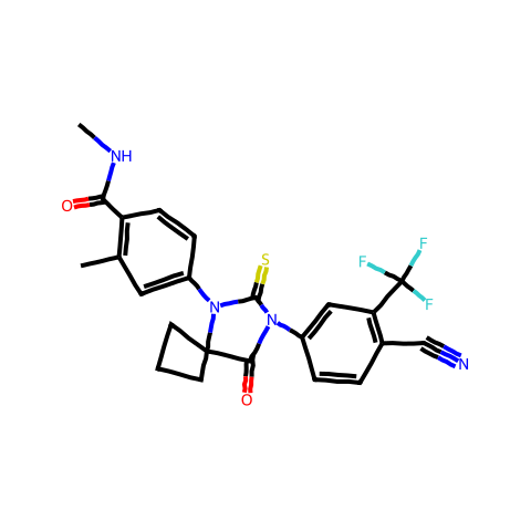 CNC(=O)c1ccc(N2C(=S)N(c3ccc(C#N)c(C(F)(F)F)c3)C(=O)C23CCC3)cc1C